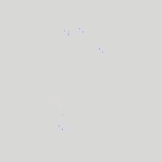 NC(=O)Cc1ccc2c(c1)C1=CN=NC1=N2